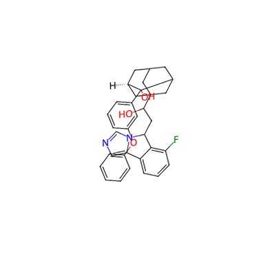 OC(CC1c2c(F)cccc2-c2cncn21)C12CC3CC(C1)C(O)(c1cccc(Oc4ccccc4)c1)[C@H](C3)C2